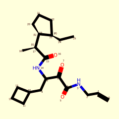 C=CCNC(=O)C(=O)C(CC1CCC1)NC(=O)[C@@H](C)[C@H]1CCC[C@H]1CC